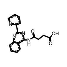 O=C(O)CCC(=O)Nc1nc(-c2ccccn2)nc2ccccc12